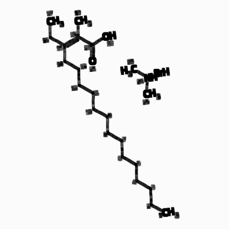 Br.CCCCCCCCCCCCCCC(CC)=C(C)C(=O)O.CNC